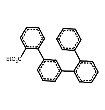 CCOC(=O)c1ccccc1-c1cccc(-c2ccccc2-c2ccccc2)c1